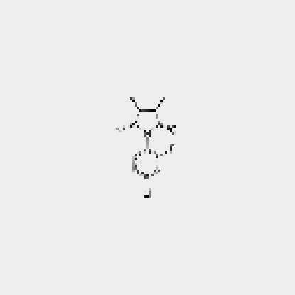 C[C@@H]1C(=O)N(c2ccc(Cl)cc2F)C(=O)[C@@H]1C